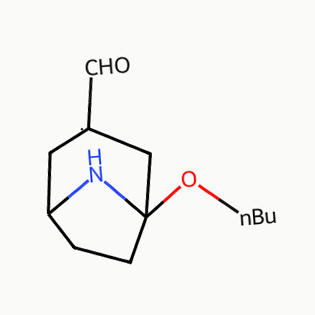 CCCCOC12CCC(C[C](C=O)C1)N2